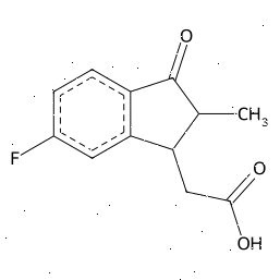 CC1C(=O)c2ccc(F)cc2C1CC(=O)O